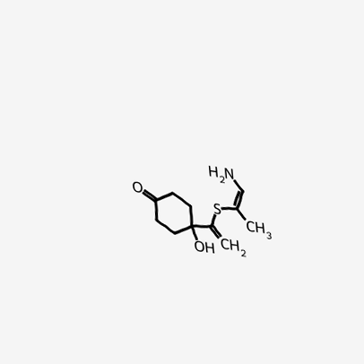 C=C(S/C(C)=C\N)C1(O)CCC(=O)CC1